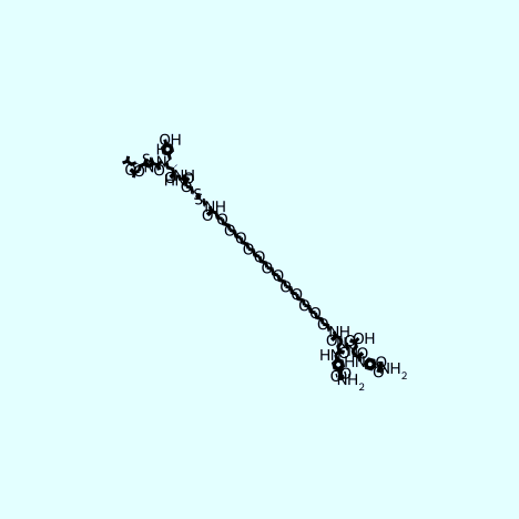 CC(=O)O[C@H](CCC(C)C)c1nc(C(=O)N[C@@H](Cc2ccc(O)cc2)C[C@H](C)C(=O)NNC(=O)OCCSSCCNC(=O)CCOCCOCCOCCOCCOCCOCCOCCOCCOCCOCCOCCOCCNC(=O)CN(CCN(CC(=O)O)CC(=O)Nc2ccc(S(N)(=O)=O)cc2)CC(=O)Nc2ccc(S(N)(=O)=O)cc2)cs1